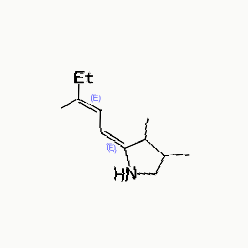 CC/C(C)=C/C=C1/NCC(C)C1C